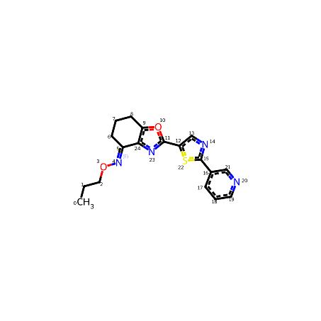 CCCO/N=C1\CCCc2oc(-c3cnc(-c4cccnc4)s3)nc21